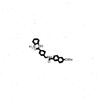 COc1ccc2cc(C(=O)NCc3ccc(C(=O)Nc4ccccc4N)cc3)ccc2c1